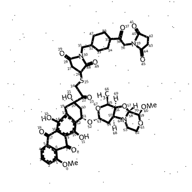 COc1cccc2c1C(=O)c1c(O)c3c(c(O)c1C2=O)C[C@@](O)(C(=O)CSC1CC(=O)N(CC2CCC(C(=O)CN4C(=O)CCC4=O)CC2)C1=O)C[C@@H]3O[C@H]1C[C@H]2[C@H](O[C@@H]3[C@@H](OC)OCCN32)[C@H](C)O1